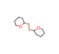 C1CCC(SSC2CCCCO2)OC1